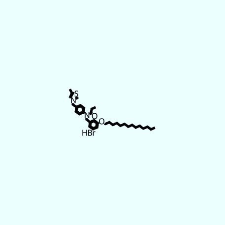 Br.CCCCCCCCCCCCCCOc1cccc(CN(C(=O)CC)c2ccc(CN3C=C(C)SC3)cc2)c1